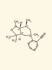 C[C@H]1C[C@@](C)(c2ccccc2C#N)C[C@@H]2[C@@H]1N(C)OC2(C)C